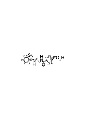 O=C(NCCNc1nsc2ccccc12)C1CCN(C(=O)O)CC1